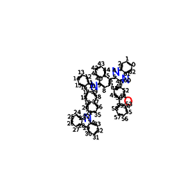 c1ccc2nc(-c3ccc(-n4c5ccccc5c5cc6cc(-n7c8ccccc8c8ccccc87)ccc6cc54)c4ccccc34)c(-c3ccc4c(c3)oc3ccccc34)nc2c1